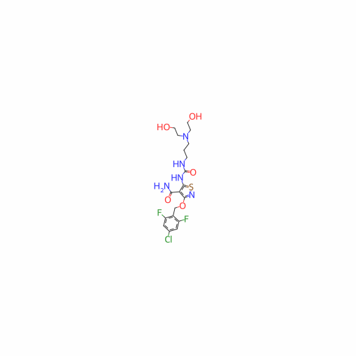 NC(=O)c1c(OCc2c(F)cc(Cl)cc2F)nsc1NC(=O)NCCCN(CCO)CCO